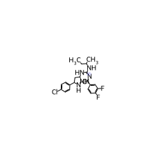 CCC(C)N/C(=N/C(=O)c1ccc(F)c(F)c1)NC1CC(c2ccc(Cl)cc2)NN1